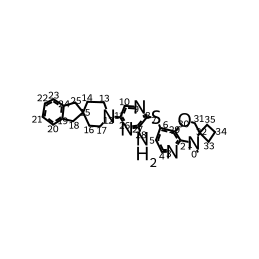 CN1c2nccc(Sc3ncc(N4CCC5(CC4)Cc4ccccc4C5)nc3N)c2OCC12CCC2